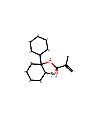 C=C(C)C(=O)OC1(C2CCCCC2)CCCCC1C(C)CC